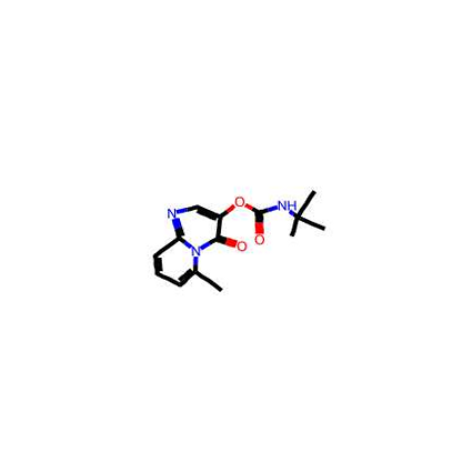 Cc1cccc2ncc(OC(=O)NC(C)(C)C)c(=O)n12